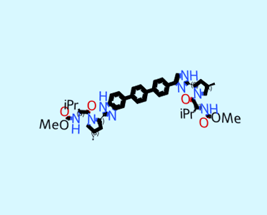 COC(=O)N[C@H](C(=O)N1C[C@H](C)C[C@H]1c1nc(-c2ccc(-c3ccc(-c4ccc5[nH]c([C@@H]6C[C@H](C)CN6C(=O)[C@@H](NC(=O)OC)C(C)C)nc5c4)cc3)cc2)c[nH]1)C(C)C